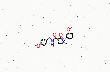 COc1ccc(CNC(=O)c2ccc(C)n(-c3cccc(OC)c3)c2=O)cc1